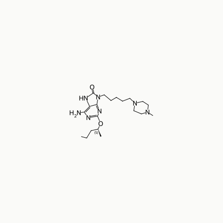 CCC[C@H](C)Oc1nc(N)c2[nH]c(=O)n(CCCCCN3CCN(C)CC3)c2n1